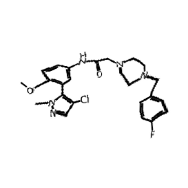 COc1ccc(NC(=O)CN2CCN(Cc3ccc(F)cc3)CC2)cc1-c1c(Cl)cnn1C